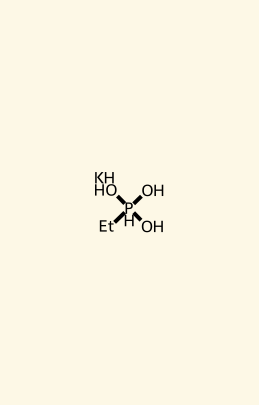 CC[PH](O)(O)O.[KH]